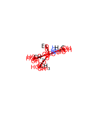 CCOCCOCCCC(=O)CC(COCCC(=O)CCCCCC(=O)CCCCOC1OC(CO)C(O)C(O)C1C)(COCCC(=O)CCCCCC(=O)CCCCOC1OC(CO)C(O)C(O)C1C)COCCC(=O)NCCCNC(=O)CCCCOC1OC(CO)C(O)C(O)C1C